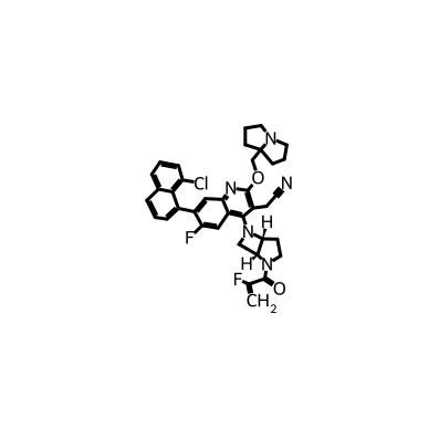 C=C(F)C(=O)N1CC[C@@H]2[C@H]1CN2c1c(CC#N)c(OCC23CCCN2CCC3)nc2cc(-c3cccc4cccc(Cl)c34)c(F)cc12